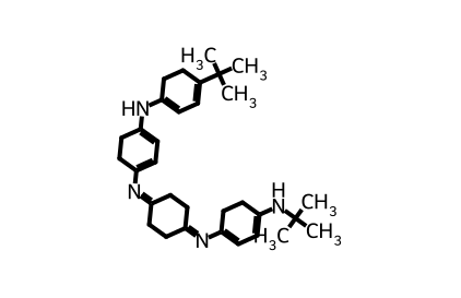 CC(C)(C)NC1=CC=C(N=C2CCC(=NC3=CC=C(NC4=CC=C(C(C)(C)C)CC4)CC3)CC2)CC1